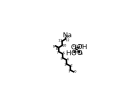 CCCCCCCCC(C)CC[CH2][Na].O=S(=O)(O)O